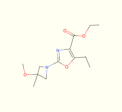 CCOC(=O)c1nc(N2CC(C)(OC)C2)oc1CC